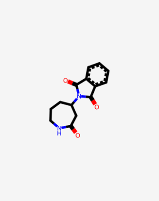 O=C1CC(N2C(=O)c3ccccc3C2=O)CCCN1